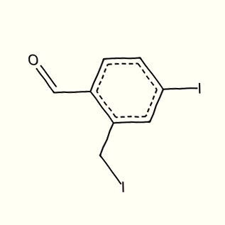 O=Cc1ccc(I)cc1CI